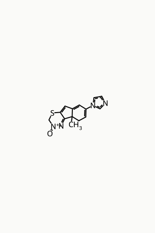 CC12CC=C(n3ccnc3)C=C1C=C1SC[N+](=O)N=C12